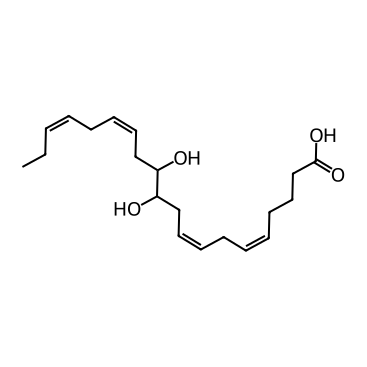 CC/C=C\C/C=C\CC(O)C(O)C/C=C\C/C=C\CCCC(=O)O